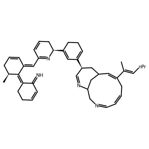 CCC/C=C(C)/C1=C/C2CC(C/N=C\C=C/C1)N=C[C@@H](C1=CCCC([C@@H]3CC=CC(/C=C4\C=CC[C@H](C)\C4=C4/CCC=CC4=N)=N3)=C1)C2